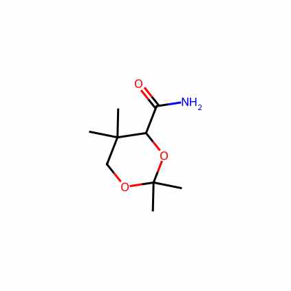 CC1(C)OCC(C)(C)C(C(N)=O)O1